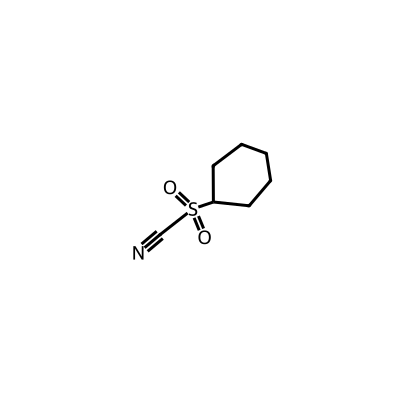 N#CS(=O)(=O)C1CCCCC1